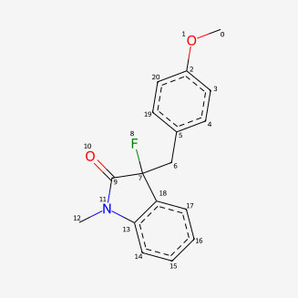 COc1ccc(CC2(F)C(=O)N(C)c3ccccc32)cc1